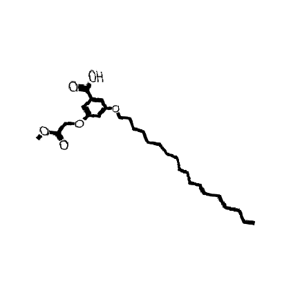 CCCCCCCCCCCCCCCCCCOc1cc(OCC(=O)OC)cc(C(=O)O)c1